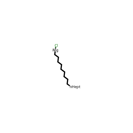 CCCCCCCCCCCCCCC[CH2][Mg][Cl]